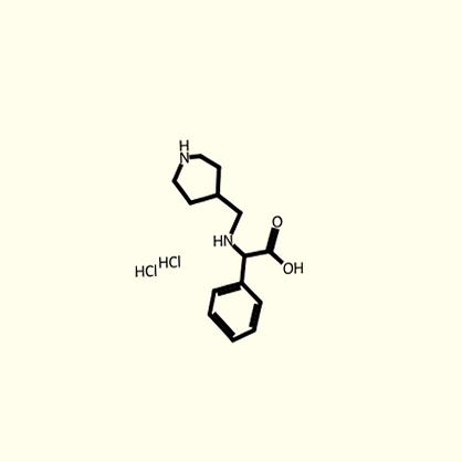 Cl.Cl.O=C(O)C(NCC1CCNCC1)c1ccccc1